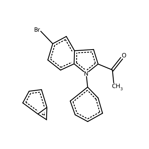 CC(=O)c1cc2cc(Br)ccc2n1-c1ccccc1.c1cc2cc-2c1